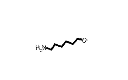 NCCCCCC[O]